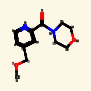 CCOCc1ccnc(C(=O)N2CCOCC2)c1